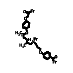 CC(CN(CCCOc1ccc(C(=O)C(C)C)cc1)C(C)C)NC[C@H](C)Oc1ccc(OCC(=O)C(C)C)cn1